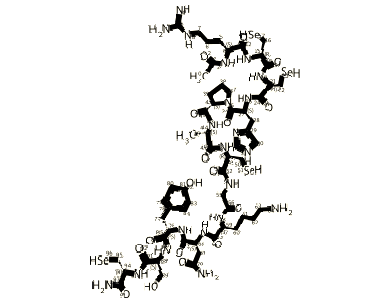 CC(=O)N[C@@H](CCCNC(=N)N)C(=O)N[C@@H](C[SeH])C(=O)N[C@@H](C[SeH])C(=O)N[C@@H](Cc1c[nH]cn1)C(=O)N1CCC[C@H]1C(=O)N[C@@H](C)C(=O)N[C@@H](C[SeH])C(=O)NCC(=O)N[C@@H](CCCCN)C(=O)N[C@@H](CC(N)=O)C(=O)N[C@@H](Cc1ccc(O)cc1)C(=O)N[C@@H](CO)C(=O)N[C@@H](C[SeH])C(N)=O